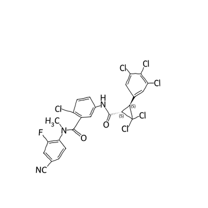 CN(C(=O)c1cc(NC(=O)[C@@H]2[C@@H](c3cc(Cl)c(Cl)c(Cl)c3)C2(Cl)Cl)ccc1Cl)c1ccc(C#N)cc1F